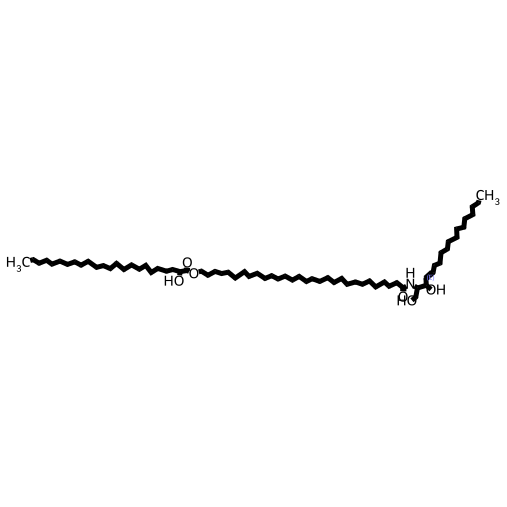 CCCCCCCCCCCCC/C=C/C(O)C(CO)NC(=O)CCCCCCCCCCCCCCCCCCCCCCCCCCCCCOC(=O)C(O)CCCCCCCCCCCCCCCCCCCCCC